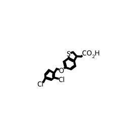 O=C(O)CC1CSc2cc(OCc3ccc(Cl)cc3Cl)ccc21